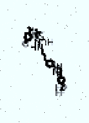 COc1ccc(C(C)C)c(-n2c(C)cs/c2=N\C(O)NCCCCc2ccc(-c3ncn(-c4ccc(OC(F)(F)F)cc4)n3)cc2)c1